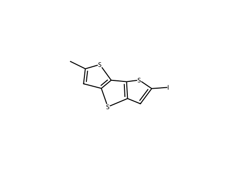 Cc1cc2sc3cc(I)sc3c2s1